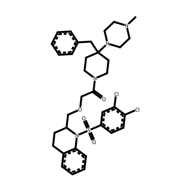 CN1CCN(C2(Cc3ccccc3)CCN(C(=O)COCC3CCc4ccccc4N3S(=O)(=O)c3ccc(Cl)c(Cl)c3)CC2)CC1